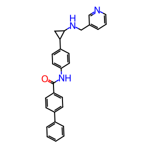 O=C(Nc1ccc(C2CC2NCc2cccnc2)cc1)c1ccc(-c2ccccc2)cc1